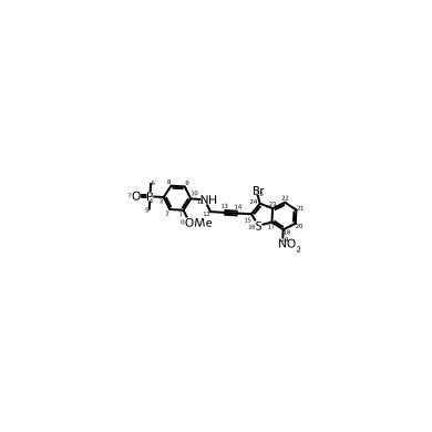 COc1cc(P(C)(C)=O)ccc1NCC#Cc1sc2c([N+](=O)[O-])cccc2c1Br